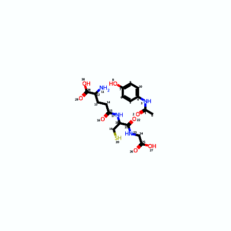 CC(=O)Nc1ccc(O)cc1.NC(CCC(=O)NC(CS)C(=O)NCC(=O)O)C(=O)O